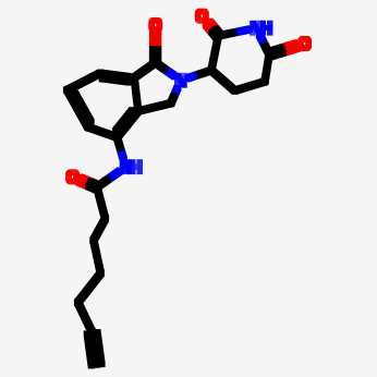 C#CCCCCC(=O)Nc1cccc2c1CN(C1CCC(=O)NC1=O)C2=O